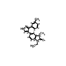 CCn1c(=O)n(C)c2cc(-c3c[nH]nc3-c3cccc(C)c3)ccc21